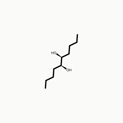 CCCC[C@H](O)[C@@H](O)CCCC